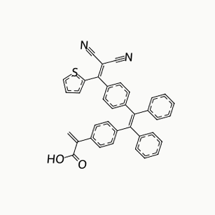 C=C(C(=O)O)c1ccc(C(=C(c2ccccc2)c2ccc(C(=C(C#N)C#N)c3cccs3)cc2)c2ccccc2)cc1